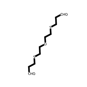 O=CCCSCCOCCSCCC=O